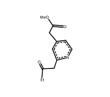 CCC(=O)Cc1cc(CC(=O)OC)ccn1